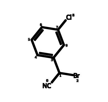 N#CC(Br)c1cccc(Cl)c1